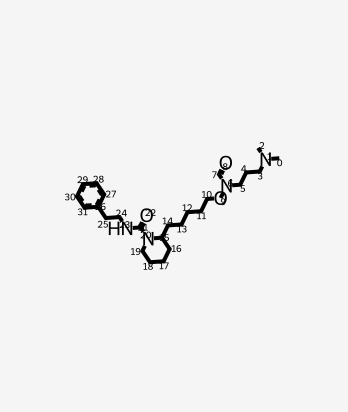 CN(C)CCCN(C=O)OCCCCCC1CCCCN1C(=O)NCCc1ccccc1